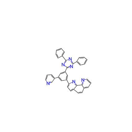 c1ccc(-c2nc(-c3ccccc3)nc(-c3cc(-c4cccnc4)cc(-c4ccc5ccc6cccnc6c5n4)c3)n2)cc1